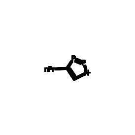 CCCC1=C[N]P=P1